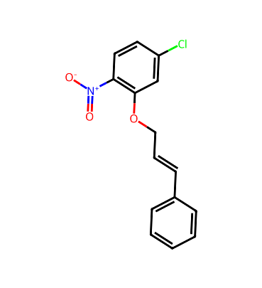 O=[N+]([O-])c1ccc(Cl)cc1OCC=Cc1ccccc1